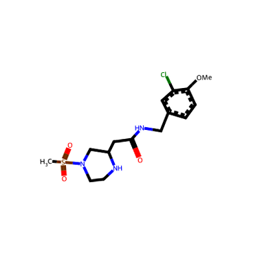 COc1ccc(CNC(=O)CC2CN(S(C)(=O)=O)CCN2)cc1Cl